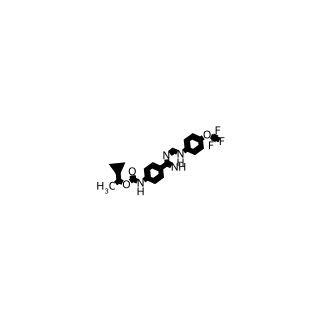 CC(OC(=O)Nc1ccc(C(=N)/N=C\Nc2ccc(OC(F)(F)F)cc2)cc1)C1CC1